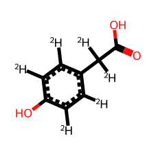 [2H]c1c([2H])c(C([2H])([2H])C(=O)O)c([2H])c([2H])c1O